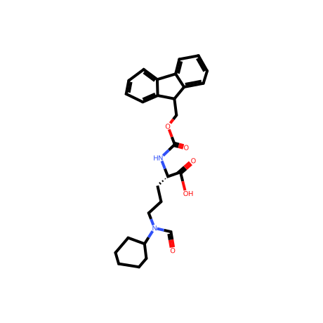 O=CN(CCC[C@H](NC(=O)OCC1c2ccccc2-c2ccccc21)C(=O)O)C1CCCCC1